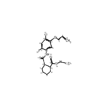 C=CCOc1cc(NC(=O)C2CCCCC2C(=O)OCC)c(F)cc1Cl